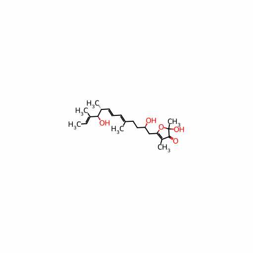 C/C=C(\C)[C@H](O)[C@H](C)/C=C/C=C(\C)CC[C@@H](O)CC1=C(C)C(=O)C(C)(O)O1